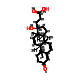 C[C@]12CCC(=O)C=C1C=C[C@@H]1[C@@H]2C=C[C@@]2(C)[C@H]1CC[C@@]2(O)CCC(=O)O